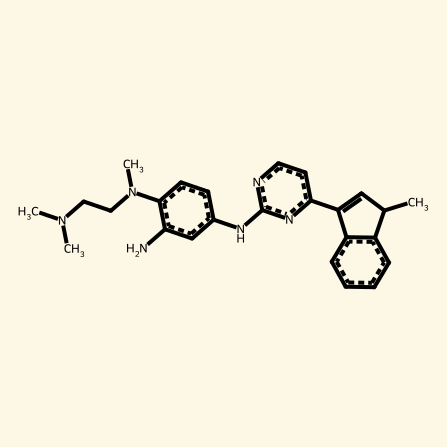 CC1C=C(c2ccnc(Nc3ccc(N(C)CCN(C)C)c(N)c3)n2)c2ccccc21